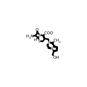 Cc1c2ccc(CO)[n+]-2ccn1CC1=C(C(=O)[O-])N2C(=O)C(N)[C@@H]2SC1